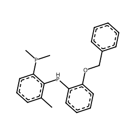 Cc1cccc(P(C)C)c1Pc1ccccc1OCc1ccccc1